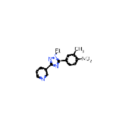 CCn1nc(-c2cccnc2)nc1-c1ccc([N+](=O)[O-])c(C)c1